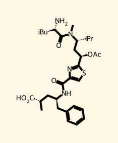 CC[C@H](C)[C@H](N)C(=O)N(C)[C@@H](C[C@@H](OC(C)=O)c1nc(C(=O)N[C@@H](Cc2ccccc2)C[C@H](C)C(=O)O)cs1)C(C)C